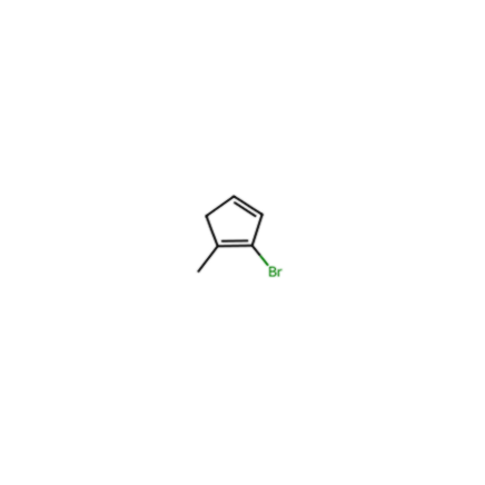 CC1=C(Br)C=CC1